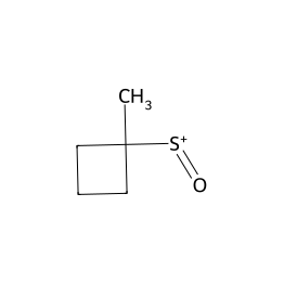 CC1([S+]=O)CCC1